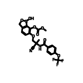 COC(=O)Oc1c(OCC(C)(C#N)NC(=O)c2ccc(OC(F)(F)F)cc2)ccc2c1B(O)OC2